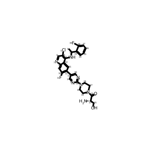 CC(Nc1c(Cl)cnc2cc(F)c(-c3cnc(N4CCN(C(=O)[C@@H](N)CO)CC4)nc3)cc12)c1ccccc1F